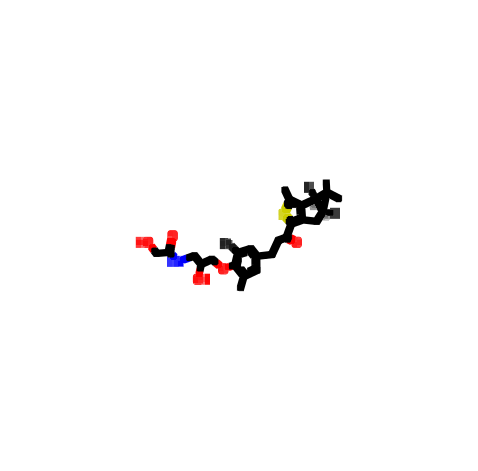 CCc1cc(CCC(=O)c2sc(C)c3c2C[C@@H]2[C@H]3C2(C)C)cc(C)c1OCC(O)CNC(=O)CO